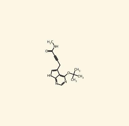 CNC(=O)C#CCc1c[nH]c2ncnc(OC(C)(C)C)c12